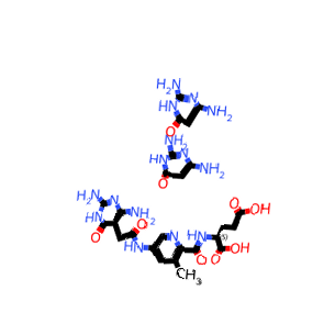 Cc1cc(NC(=O)Cc2c(N)nc(N)[nH]c2=O)cnc1C(=O)N[C@@H](CCC(=O)O)C(=O)O.Nc1cc(=O)[nH]c(N)n1.Nc1cc(=O)[nH]c(N)n1